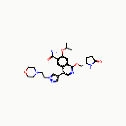 CC(C)Oc1cc2c(OC[C@@H]3CCC(=O)N3)ncc(-c3cnn(CCN4CCOCC4)c3)c2cc1C(N)=O